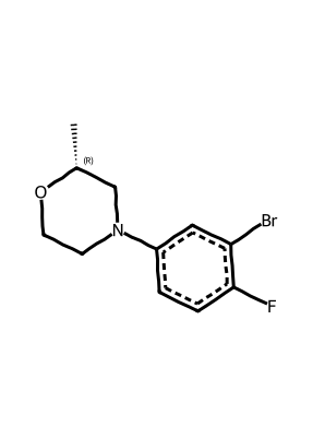 C[C@@H]1CN(c2ccc(F)c(Br)c2)CCO1